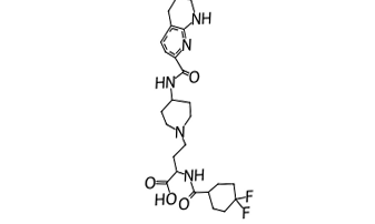 O=C(NC1CCN(CCC(NC(=O)C2CCC(F)(F)CC2)C(=O)O)CC1)c1ccc2c(n1)NCCC2